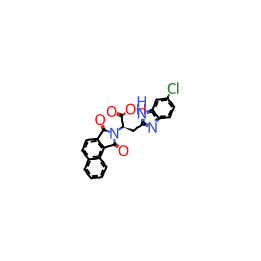 O=C(O)[C@@H](Cc1nc2ccc(Cl)cc2[nH]1)N1C(=O)c2ccc3ccccc3c2C1=O